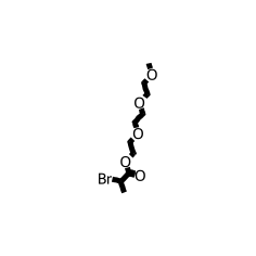 COCCOCCOCCOC(=O)C(C)Br